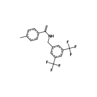 C=C(NCc1cc(C(F)(F)F)cc(C(F)(F)F)c1)c1ccc(C)cc1